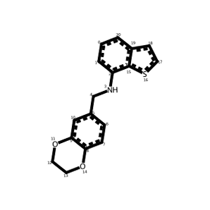 c1cc(NCc2ccc3c(c2)OCCO3)c2sccc2c1